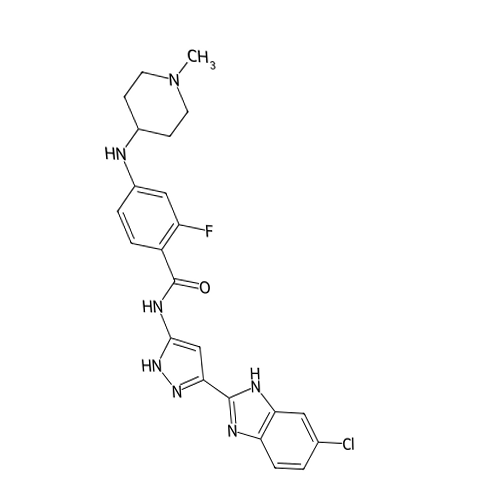 CN1CCC(Nc2ccc(C(=O)Nc3cc(-c4nc5ccc(Cl)cc5[nH]4)n[nH]3)c(F)c2)CC1